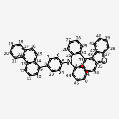 c1ccc(N(c2ccc(-c3cccc4c3ccc3ccccc34)cc2)c2ccccc2-c2cccc3oc4ccccc4c23)cc1